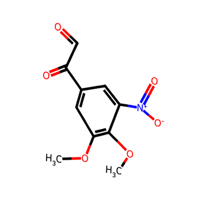 COc1cc(C(=O)C=O)cc([N+](=O)[O-])c1OC